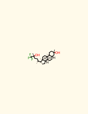 C[C@H](CC[C@@](C)(O)C(F)(F)F)[C@H]1CC[C@H]2[C@@H]3CC[C@@H]4C[C@@](C)(O)CC[C@]4(C)[C@H]3CC[C@]12C